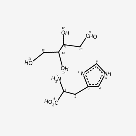 NC(Cc1c[nH]cn1)C(=O)O.O=CCC(O)C(O)CO